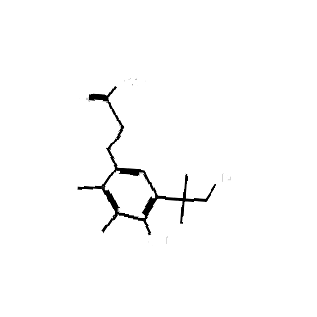 COC(=O)CCc1cc(C(C)(C)CC(C)(C)C)c(O)c(C)c1C